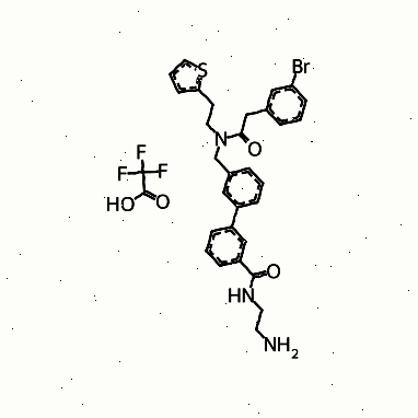 NCCNC(=O)c1cccc(-c2cccc(CN(CCc3cccs3)C(=O)Cc3cccc(Br)c3)c2)c1.O=C(O)C(F)(F)F